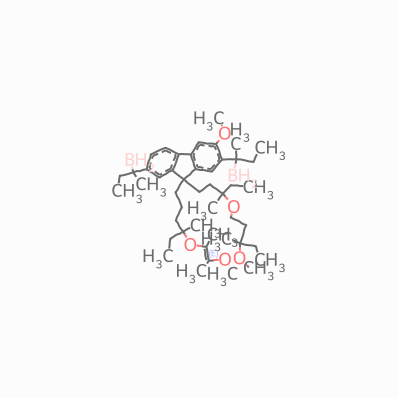 BC(C)(CC)c1ccc2c(c1)C(CCCC(C)(CC)O/C(C)=C(\C)OC)(CCC(C)(CC)OCCC(C)(CC)OC)c1cc(C(B)(C)CC)c(OC)cc1-2